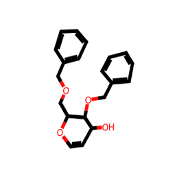 OC1C=COC(COCc2ccccc2)C1OCc1ccccc1